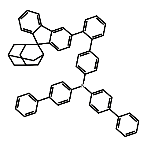 c1ccc(-c2ccc(N(c3ccc(-c4ccccc4)cc3)c3ccc(-c4ccccc4-c4ccc5c(c4)-c4ccccc4C54C5CC6CC(C5)CC4C6)cc3)cc2)cc1